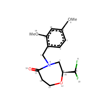 COc1ccc(CN2C[C@@H](C(F)F)OCCC2=O)c(OC)c1